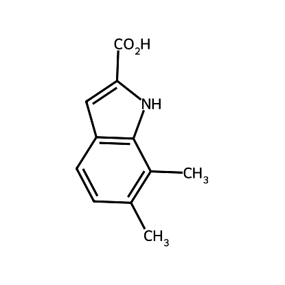 Cc1ccc2cc(C(=O)O)[nH]c2c1C